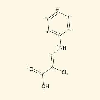 O=C(O)/C(Cl)=C/Nc1ccccc1